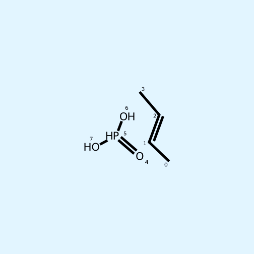 C/C=C/C.O=[PH](O)O